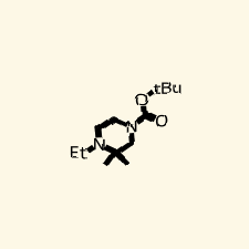 CCN1CCN(C(=O)OC(C)(C)C)CC1(C)C